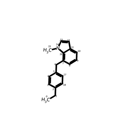 CCc1ccc(Cc2cccc3c[c]n(C)c23)cc1